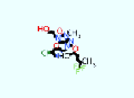 C#C/C(=C\C=C(/C)C(F)(F)F)Oc1nc2c(c(=O)n(CCCO)c(=O)n2C)n1Cc1ccc(Cl)cn1